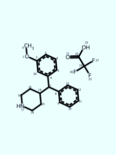 COc1cccc(C(c2ccccc2)C2CCNCC2)c1.O=C(O)C(F)(F)F